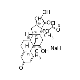 CC(=O)O[C@]1(C(=O)CO)[C@H](C)C[C@H]2[C@@H]3CCC4=CC(=O)C=C[C@]4(C)[C@@]3(F)[C@@H](O)C[C@@]21C.[NaH]